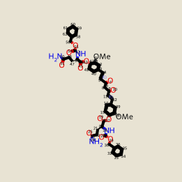 COc1cc(/C=C/C(=O)CC(=O)/C=C/c2ccc(OC(=O)[C@H](CCC(N)=O)NC(=O)OCc3ccccc3)c(OC)c2)ccc1OC(=O)[C@H](CCC(N)=O)NC(=O)OCc1ccccc1